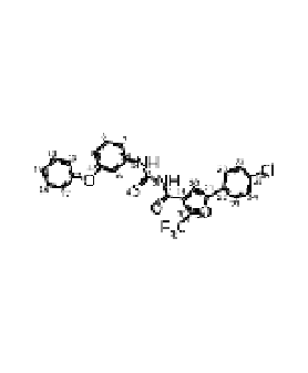 O=C(NC(=S)Nc1cccc(Oc2ccccc2)c1)c1cc(-c2ccc(Cl)cc2)oc1C(F)(F)F